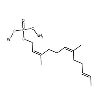 CC=CCCC(C)=CCCC(C)=CCOP(=O)(ON)OCC